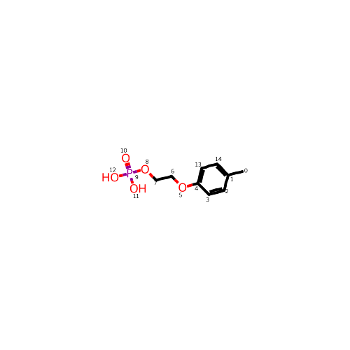 Cc1ccc(OCCOP(=O)(O)O)cc1